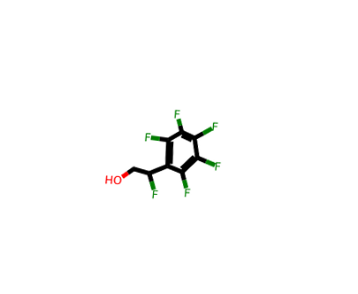 OCC(F)c1c(F)c(F)c(F)c(F)c1F